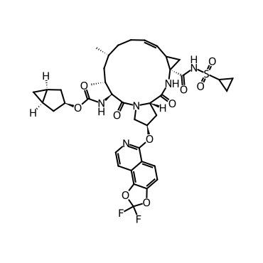 C[C@@H]1CC/C=C\C2C[C@@]2(C(=O)NS(=O)(=O)C2CC2)NC(=O)[C@@H]2C[C@@H](Oc3nccc4c5c(ccc34)OC(F)(F)O5)CN2C(=O)[C@@H](NC(=O)O[C@@H]2C[C@@H]3C[C@@H]3C2)[C@H](C)C1